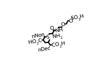 CCCCCCCCCC[C@@H](C(=O)O)C(C)CC(C(=O)O)C(CCCCCCCCC)SC[C@H](N)C(=O)NCCOCCOS(=O)(=O)O